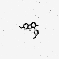 CCc1ccc2c(n1)oc1c(N3C=CN(CC)[C@@H]3C)c(C)ccc12